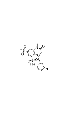 CS(=O)(=O)c1cc2c(c(S(=O)(=O)Nc3ccc(F)cc3F)c1)OCC(=O)N2